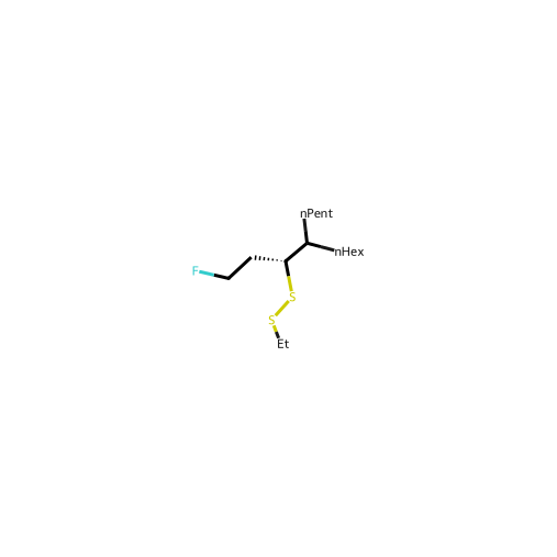 CCCCCCC(CCCCC)[C@@H](CCF)SSCC